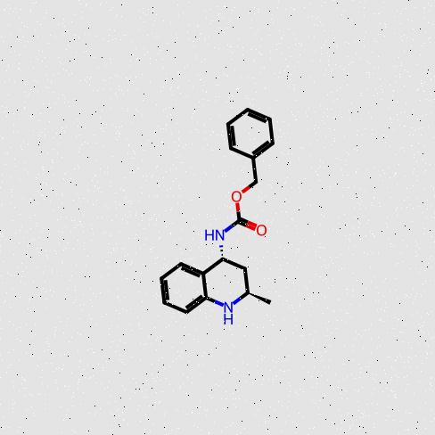 C[C@@H]1C[C@@H](NC(=O)OCc2ccccc2)c2ccccc2N1